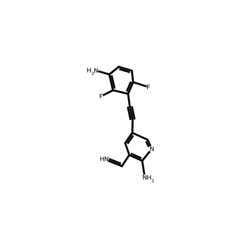 N=Cc1cc(C#Cc2c(F)ccc(N)c2F)cnc1N